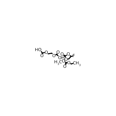 CCOC(=O)OC.O=C(O)OCCOC(=O)O.O=C1OCC(F)O1